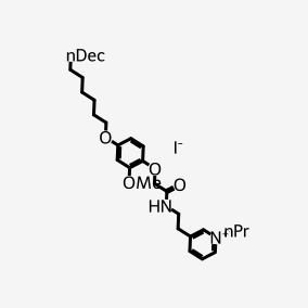 CCCCCCCCCCCCCCCCOc1ccc(OCC(=O)NCCc2ccc[n+](CCC)c2)c(OC)c1.[I-]